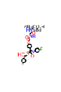 CCCCC(CCCC)(NC(=O)CNC(=O)COc1ccc([C@@H]2[C@@H](SCC(O)c3ccc(F)cc3)C(=O)N2c2ccc(F)cc2)cc1)C(=O)O